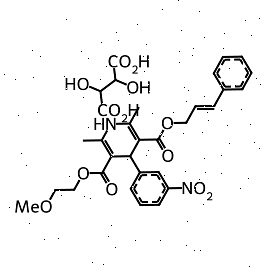 COCCOC(=O)C1=C(C)NC(C)=C(C(=O)OC/C=C/c2ccccc2)C1c1cccc([N+](=O)[O-])c1.O=C(O)C(O)C(O)C(=O)O